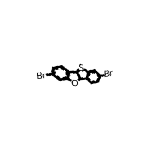 Brc1ccc2c(c1)OC1c3ccc(Br)cc3SC21